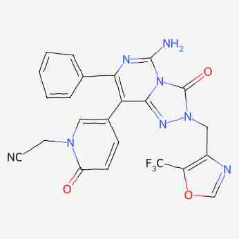 N#CCn1cc(-c2c(-c3ccccc3)nc(N)n3c(=O)n(Cc4ncoc4C(F)(F)F)nc23)ccc1=O